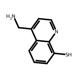 NCc1ccnc2c(S)cccc12